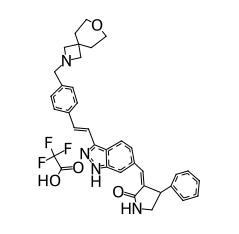 O=C(O)C(F)(F)F.O=C1NCC(c2ccccc2)C1=Cc1ccc2c(/C=C/c3ccc(CN4CC5(CCOCC5)C4)cc3)n[nH]c2c1